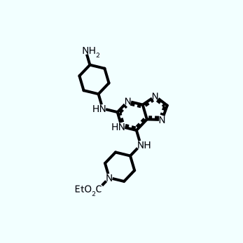 CCOC(=O)N1CCC(Nc2[nH]c(NC3CCC(N)CC3)nc3ncnc2-3)CC1